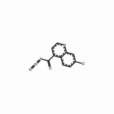 [N-]=[N+]=NC(=O)c1ccnc2cc(Cl)ccc12